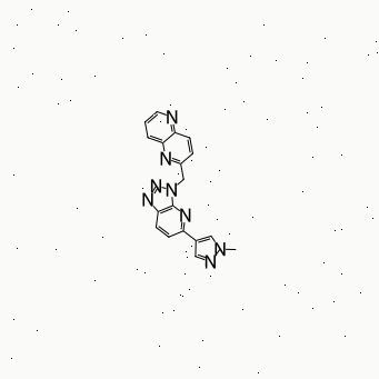 Cn1cc(-c2ccc3nnn(Cc4ccc5ncccc5n4)c3n2)cn1